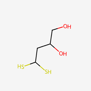 OCC(O)CC(S)S